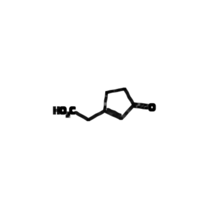 O=C(O)CC1=CC(=O)CC1